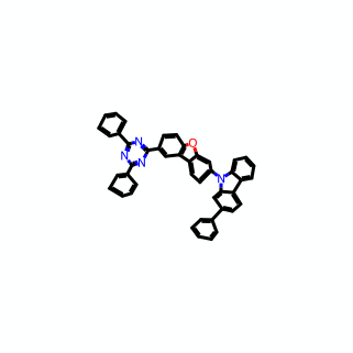 c1ccc(-c2ccc3c4ccccc4n(-c4ccc5c(c4)oc4ccc(-c6nc(-c7ccccc7)nc(-c7ccccc7)n6)cc45)c3c2)cc1